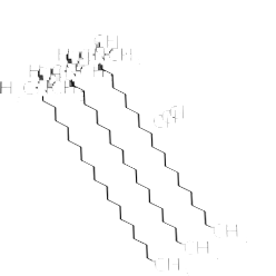 CCCCCCCCCCCCCCCCCC[N+](C)(C)C.CCCCCCCCCCCCCCCCCC[N+](C)(C)C.CCCCCCCCCCCCCCCCCC[N+](C)(C)C.[Cl-].[Cl-].[Cl-]